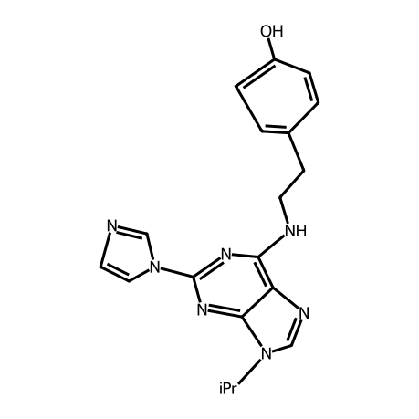 CC(C)n1cnc2c(NCCc3ccc(O)cc3)nc(-n3ccnc3)nc21